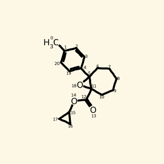 Cc1ccc(C23CCCCCC2(C(=O)OC2CC2)O3)cc1